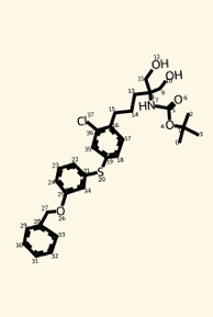 CC(C)(C)OC(=O)NC(CO)(CO)CCCc1ccc(Sc2cccc(OCc3ccccc3)c2)cc1Cl